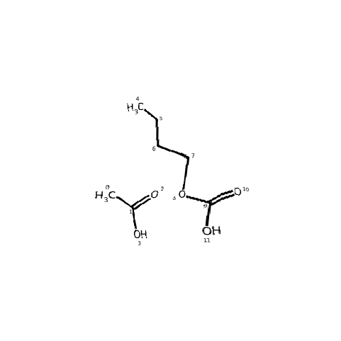 CC(=O)O.CCCCOC(=O)O